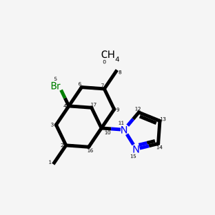 C.CC1CC2(Br)CC(C)CC(n3cccn3)(C1)C2